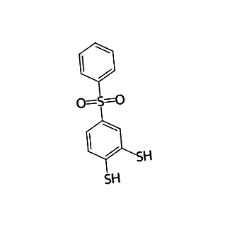 O=S(=O)(c1ccccc1)c1ccc(S)c(S)c1